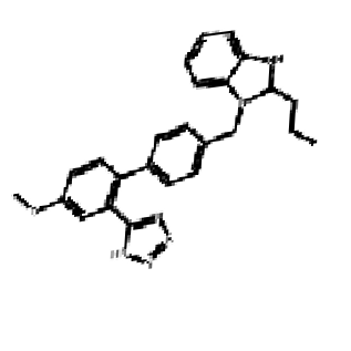 CCCC1Nc2ccccc2N1Cc1ccc(-c2ccc(OC)cc2-c2nnn[nH]2)cc1